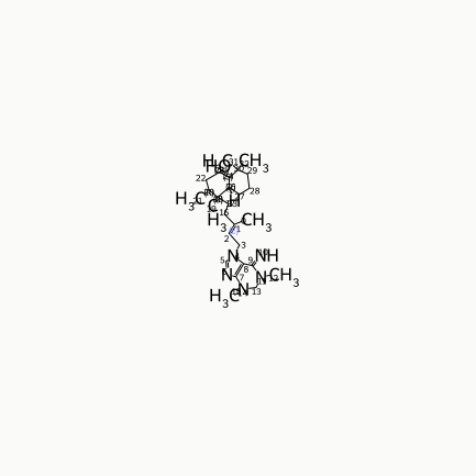 C/C(=C\Cn1cnc2c1C(=N)N(C)CN2C)CC[C@@]1(C)[C@H](C)CC[C@]2(O)[C@@H]1CCCC2(C)C